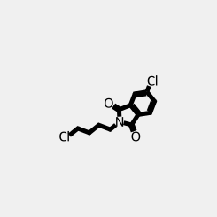 O=C1c2ccc(Cl)cc2C(=O)N1CCCCCl